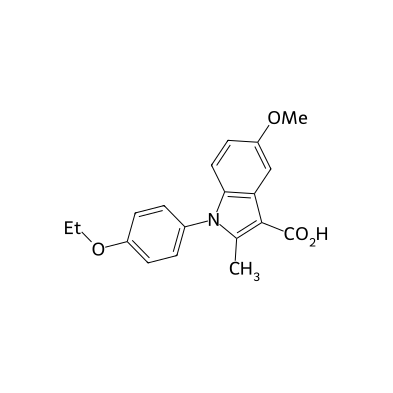 CCOc1ccc(-n2c(C)c(C(=O)O)c3cc(OC)ccc32)cc1